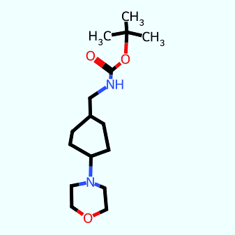 CC(C)(C)OC(=O)NCC1CCC(N2CCOCC2)CC1